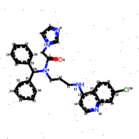 O=C(Cn1ccnc1)N(CCCNc1ccnc2cc(Cl)ccc12)C(c1ccccc1)c1ccccc1